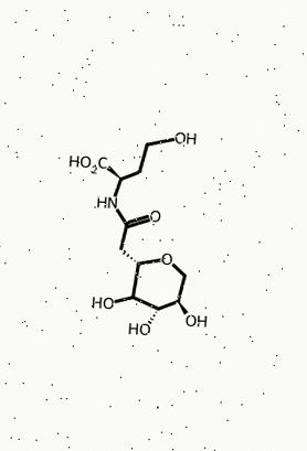 O=C(C[C@@H]1OC[C@@H](O)[C@H](O)C1O)N[C@H](CCO)C(=O)O